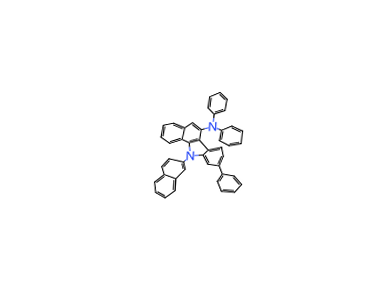 c1ccc(-c2ccc3c4c(N(c5ccccc5)c5ccccc5)cc5ccccc5c4n(-c4ccc5ccccc5c4)c3c2)cc1